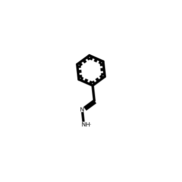 [NH]N=Cc1ccccc1